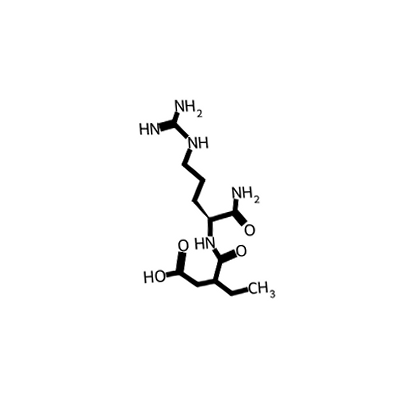 CCC(CC(=O)O)C(=O)N[C@@H](CCCNC(=N)N)C(N)=O